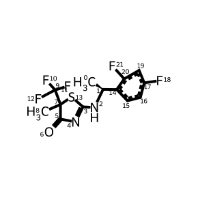 C[C@H](NC1=NC(=O)C(C)(C(F)(F)F)S1)c1ccc(F)cc1F